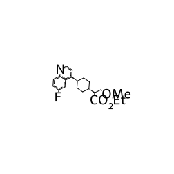 CCOC(=O)C(COC)[C@H]1CC[C@@H](c2ccnc3ccc(F)cc32)CC1